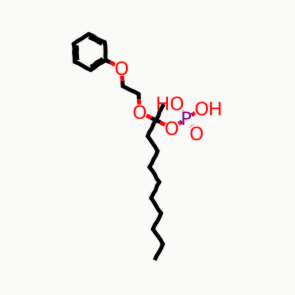 CCCCCCCCCC(C)(OCCOc1ccccc1)OP(=O)(O)O